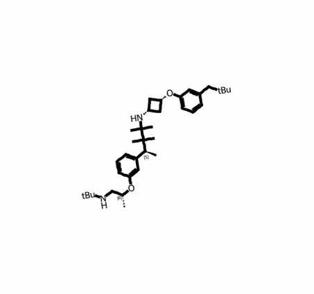 C[C@H](CNC(C)(C)C)Oc1cccc([C@H](C)C(C)(C)C(C)(C)N[C@H]2C[C@@H](Oc3cccc(CC(C)(C)C)c3)C2)c1